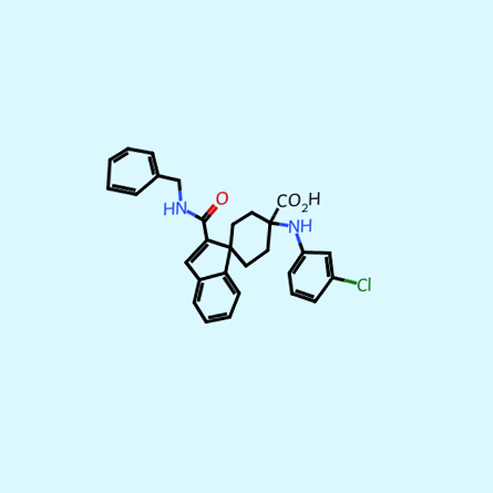 O=C(NCc1ccccc1)C1=Cc2ccccc2C12CCC(Nc1cccc(Cl)c1)(C(=O)O)CC2